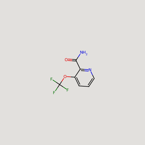 NC(=O)c1ncccc1OC(F)(F)F